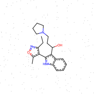 CCc1noc(C)c1-c1[nH]c2ccccc2c1C(O)CCN1CCCC1